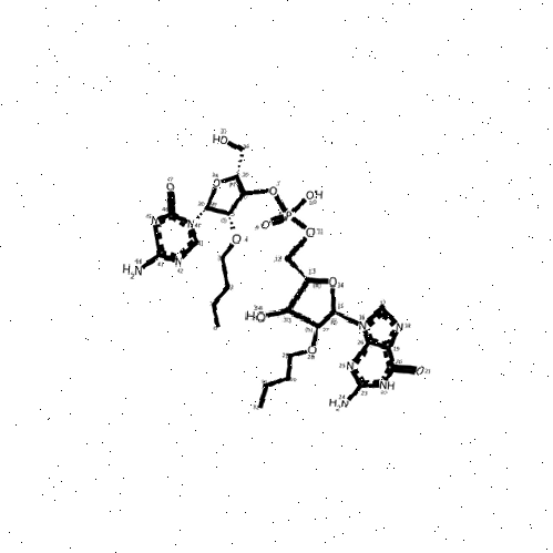 CCCCO[C@H]1C(OP(=O)(O)OC[C@H]2O[C@@H](n3cnc4c(=O)[nH]c(N)nc43)[C@@H](OCCCC)C2O)[C@@H](CO)O[C@H]1n1cnc(N)nc1=O